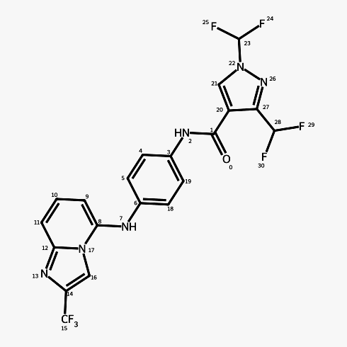 O=C(Nc1ccc(Nc2cccc3nc(C(F)(F)F)cn23)cc1)c1cn(C(F)F)nc1C(F)F